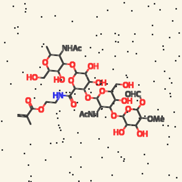 C=C(C)C(=O)OCCNC(=O)C1OC(OC2C(O)C(CO)OC(C)C2NC(C)=O)C(O)C(O)C1OC1OC(CO)C(O)C(OC2OC(OC=O)C(OC)C(O)C2O)C1NC(C)=O